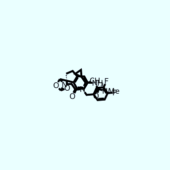 CNC(=O)Nc1ccc2c(c1)CC[C@@]21OC2OC1N2CC(=O)N(Cc1ccc(F)c(F)c1)[C@@H](C)C1CC1